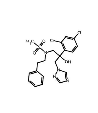 CS(=O)(=O)N(CCc1ccccc1)CC(O)(Cn1cncn1)c1ccc(Cl)cc1Cl